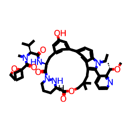 CCn1c(-c2cccnc2[C@H](C)OC)c2c3cc(ccc31)-c1cc(O)cc(c1)C[C@H](NC(=O)[C@H](C(C)C)N(C)C(=O)C13CC(CO1)C3)C(=O)N1CCC[C@H](N1)C(=O)OCC(C)(C)C2